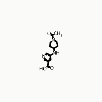 CC(=O)N1CCC(Nc2cncc(C(=O)O)c2)CC1